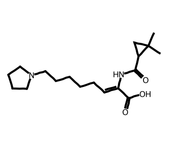 CC1(C)CC1C(=O)N/C(=C\CCCCCN1CCCC1)C(=O)O